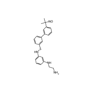 CC(C)(N=O)c1cccc(-c2cccc(SNc3cccc(NCCN)c3)c2)c1